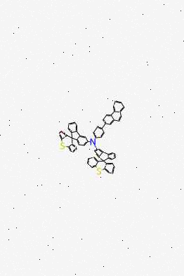 c1ccc2c(c1)Sc1ccccc1C21c2ccccc2-c2cc(N(c3ccc(-c4ccc5c(ccc6ccccc65)c4)cc3)c3ccc4c(c3)-c3ccccc3C43c4ccccc4Sc4ccccc43)ccc21